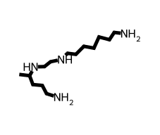 CC(CCCN)NCCNCCCCCCCN